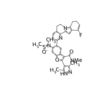 CNC(=O)c1c(-c2c(C)n[nH]c2C)oc2cc(N(C)[S+](C)[O-])c(-c3ccc4c(n3)-c3cc5c(n3CC4)CCC=C5F)cc12